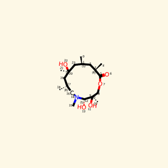 C[C@H]1C[C@@H](C)C(=O)OC[C@@](C)(O)[C@H](O)N(C)C[C@H](C)C[C@@](C)(O)C1